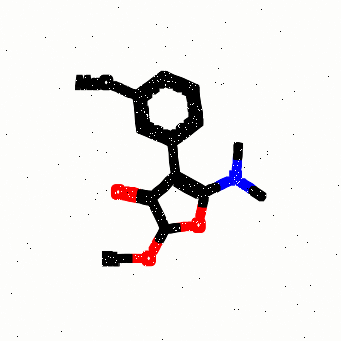 CCOC1OC(N(C)C)=C(c2cccc(OC)c2)C1=O